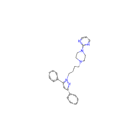 c1ccc(-c2cc(-c3ccccc3)n(CCCCN3CCN(c4ncccn4)CC3)n2)cc1